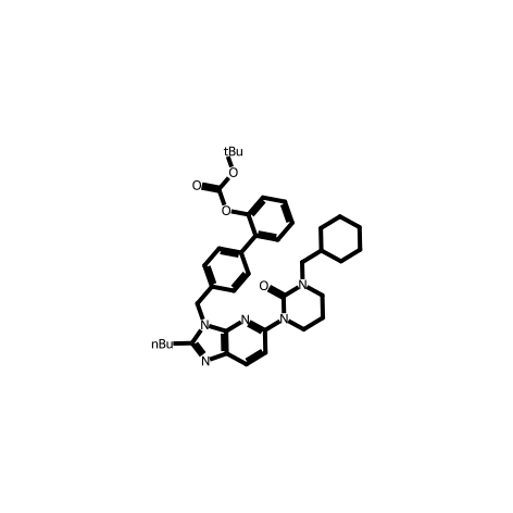 CCCCc1nc2ccc(N3CCCN(CC4CCCCC4)C3=O)nc2n1Cc1ccc(-c2ccccc2OC(=O)OC(C)(C)C)cc1